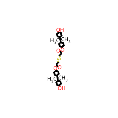 CC(C)(c1ccc(O)cc1)c1ccc(OC(=O)CCSSCCC(=O)Oc2ccc(C(C)(C)c3ccc(O)cc3)cc2)cc1